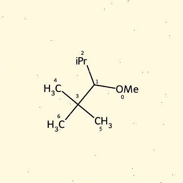 COC(C(C)C)C(C)(C)C